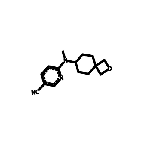 CN(c1ccc(C#N)cn1)C1CCC2(CC1)COC2